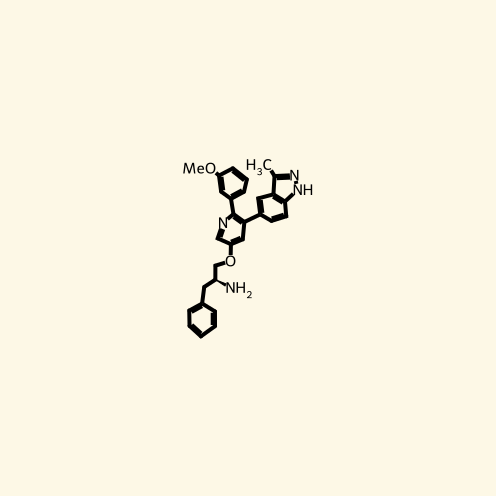 COc1cccc(-c2ncc(OC[C@@H](N)Cc3ccccc3)cc2-c2ccc3[nH]nc(C)c3c2)c1